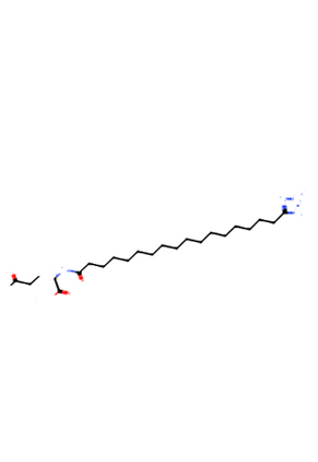 CC(=O)CC[C@H](NC(=O)CCCCCCCCCCCCCCCCc1nn(C)[nH]1)C(=O)O